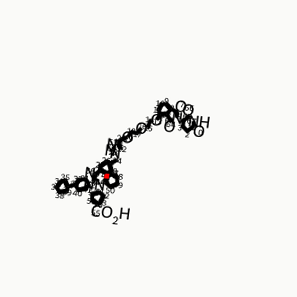 O=C1CCC(N2C(=O)c3cccc(OCCOCCOCc4cn(Cc5ccc(-c6nc7cc(-c8ccccc8)ccn7c6N(c6ccccc6)c6ccc(C(=O)O)cc6)cc5)nn4)c3C2=O)C(=O)N1